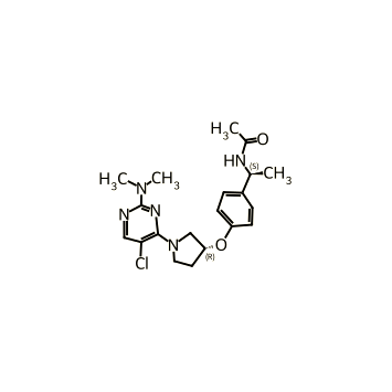 CC(=O)N[C@@H](C)c1ccc(O[C@@H]2CCN(c3nc(N(C)C)ncc3Cl)C2)cc1